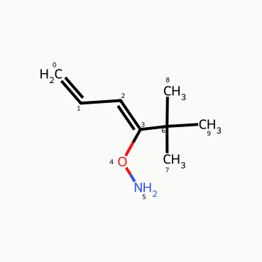 C=C/C=C(\ON)C(C)(C)C